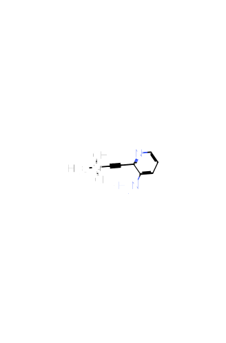 C[Si](C)(C)C#Cc1ncccc1N